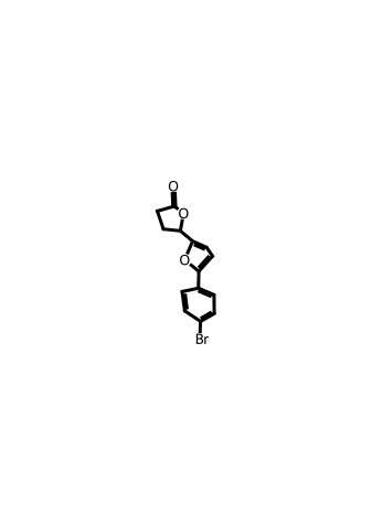 O=C1CCC(c2ccc(-c3ccc(Br)cc3)o2)O1